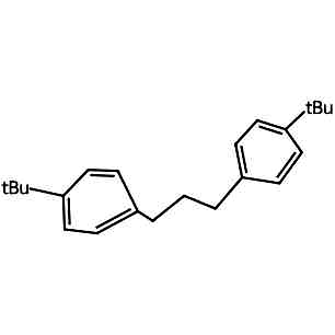 CC(C)(C)c1ccc(CCCc2ccc(C(C)(C)C)cc2)cc1